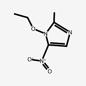 CCOn1c([N+](=O)[O-])cnc1C